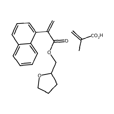 C=C(C(=O)OCC1CCCO1)c1cccc2ccccc12.C=C(C)C(=O)O